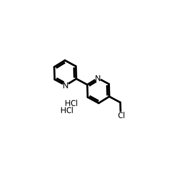 Cl.Cl.ClCc1ccc(-c2ccccn2)nc1